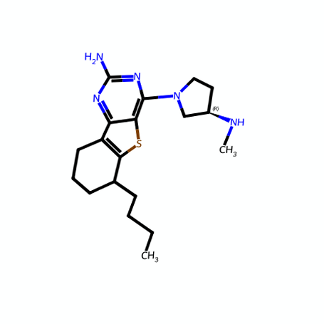 CCCCC1CCCc2c1sc1c(N3CC[C@@H](NC)C3)nc(N)nc21